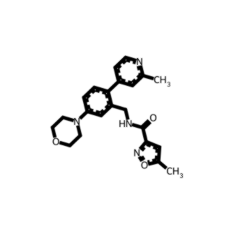 Cc1cc(-c2ccc(N3CCOCC3)cc2CNC(=O)c2cc(C)on2)ccn1